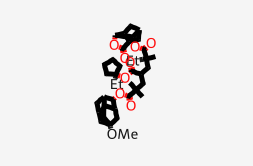 CCC1(OC(=O)C(CC(C)(C)C(=O)OC2C3CC4CC2CC(OC)(C4)C3)CC(C)(CC)C(=O)OC2C3CC4C(=O)OC2C4C3)CCCC1